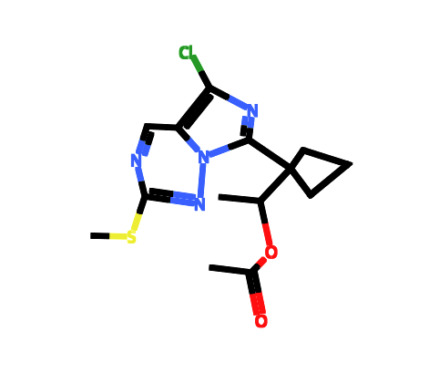 CSc1ncc2c(Cl)nc(C3(C(C)OC(C)=O)CCC3)n2n1